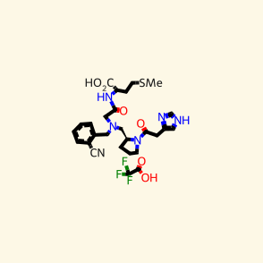 CSCCC(NC(=O)CN(Cc1ccccc1C#N)C[C@@H]1CCCN1C(=O)Cc1c[nH]cn1)C(=O)O.O=C(O)C(F)(F)F